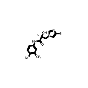 C[C@](O)(Cn1cnc(Br)c1)C(=O)Nc1ccc(C#N)c(C(F)(F)F)c1